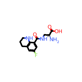 N[C@H](CNC(=O)c1cc(F)cc2c1NCCC2)C(=O)O